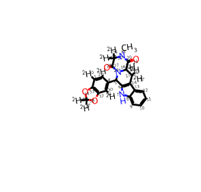 [2H]c1c([2H])c(C2c3[nH]c4ccccc4c3C([2H])([2H])[C@]3([2H])C(=O)N(C)C([2H])([2H])C(=O)N23)c([2H])c2c1OC([2H])([2H])O2